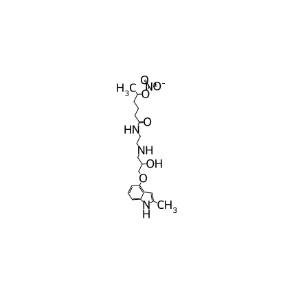 Cc1cc2c(OCC(O)CNCCNC(=O)CCCC(C)O[N+](=O)[O-])cccc2[nH]1